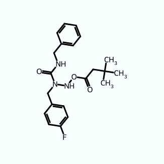 CC(C)(C)CC(=O)ONN(Cc1ccc(F)cc1)C(=O)NCc1ccccc1